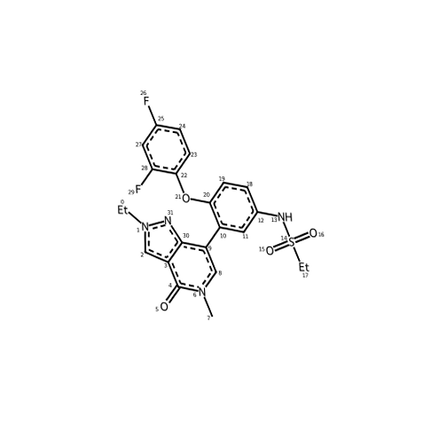 CCn1cc2c(=O)n(C)cc(-c3cc(NS(=O)(=O)CC)ccc3Oc3ccc(F)cc3F)c2n1